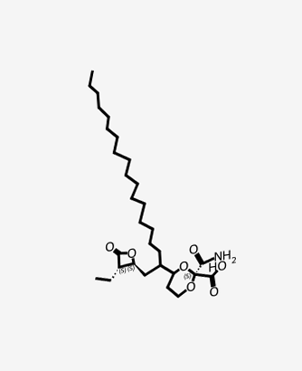 CCCCCCCCCCCCCCCCCC(C[C@@H]1OC(=O)[C@H]1CC)C1CCO[C@](C(N)=O)(C(=O)O)O1